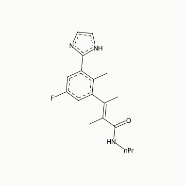 CCCNC(=O)/C(C)=C(\C)c1cc(F)cc(-c2ncc[nH]2)c1C